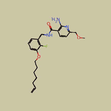 C=CCCCCCOc1cccc(CNC(=O)c2ccc(COC)nc2N)c1F